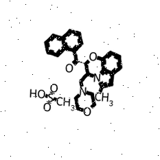 CS(=O)(=O)O.Cc1cc2cccc3c2n1C(CN1CCOCC1)[C@H](C(=O)c1cccc2ccccc12)O3